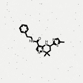 Cc1cnc(C2CC(C)(C)n3ncc(C(=O)NCCc4ccccc4)c3N2)s1